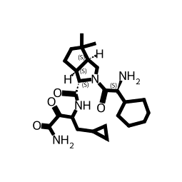 CC1(C)CC[C@@H]2[C@@H](C(=O)NC(CC3CC3)C(=O)C(N)=O)N(C(=O)[C@@H](N)C3CCCCC3)C[C@@H]21